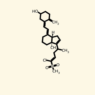 C=C1CCC(O)C/C1=C/C=C1\CCC[C@]2(C)C(C(C)C/C=C(\Cl)S(C)(=O)=O)=CC[C@@H]12